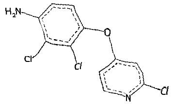 Nc1ccc(Oc2ccnc(Cl)c2)c(Cl)c1Cl